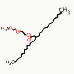 CCCCCCCCCCCCC(CCCCCCCCCCCC)CC(=O)OCCOCCOC